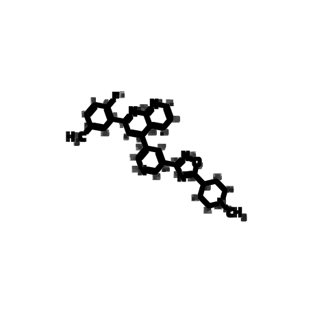 Cc1ccc(F)c(-c2cc(-c3cncc(-c4noc(C5CCN(C)CC5)n4)c3)c3cccnc3n2)c1